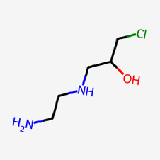 NCCNCC(O)CCl